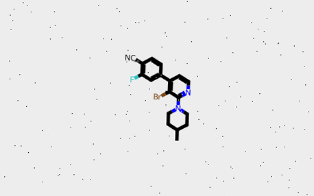 CC1CCN(c2nccc(-c3ccc(C#N)c(F)c3)c2Br)CC1